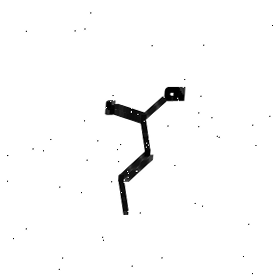 C/C=C/C(=S)C#N